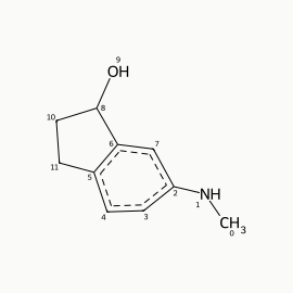 CNc1ccc2c(c1)C(O)CC2